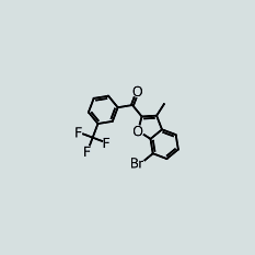 Cc1c(C(=O)c2cccc(C(F)(F)F)c2)oc2c(Br)cccc12